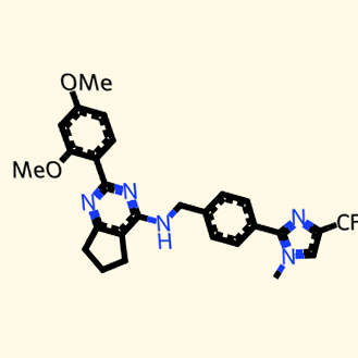 COc1ccc(-c2nc3c(c(NCc4ccc(-c5nc(C(F)(F)F)cn5C)cc4)n2)CCC3)c(OC)c1